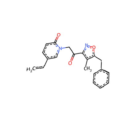 C=Cc1ccc(=O)n(CC(=O)c2noc(Cc3ccccc3)c2C)c1